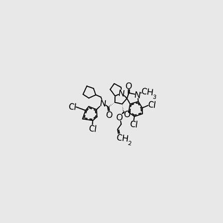 C=CCOC(=O)[C@@H]1[C@H](C(=O)N(CC2CCCC2)c2cc(Cl)cc(Cl)c2)C2CCCN2C12C(=O)N(C)c1c(Cl)cc(Cl)cc12